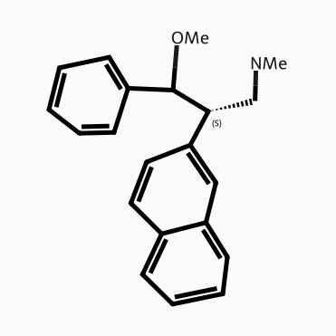 CNC[C@H](c1ccc2ccccc2c1)C(OC)c1ccccc1